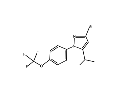 CC(C)c1cc(Br)nn1-c1ccc(OC(F)(F)F)cc1